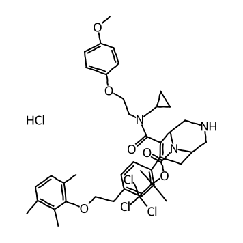 COc1ccc(OCCN(C(=O)C2=C(c3ccc(CCOc4c(C)ccc(C)c4C)cc3)CC3CNCC2N3C(=O)OC(C)(C)C(Cl)(Cl)Cl)C2CC2)cc1.Cl